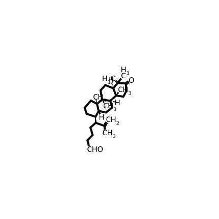 C=C(C)C(CCCC=O)[C@H]1CCC[C@]2(C)[C@@H]1CC[C@@H]1[C@@]3(C)CCC(=O)C(C)(C)[C@@H]3CC[C@]12C